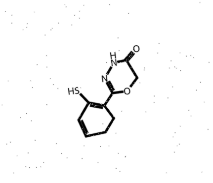 O=C1COC(C2=C(S)C=CCC2)=NN1